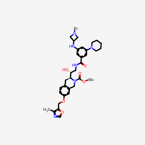 CC(=O)N1CC(Nc2cc(C(=O)NC[C@@H](O)[C@@H]3Cc4ccc(OCc5ocnc5C)cc4CN3C(=O)OC(C)(C)C)cc(N3CCCCC3)c2)C1